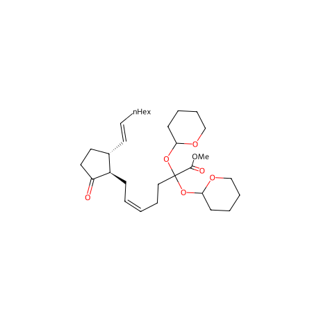 CCCCCC/C=C/[C@H]1CCC(=O)[C@@H]1C/C=C\CCC(OC1CCCCO1)(OC1CCCCO1)C(=O)OC